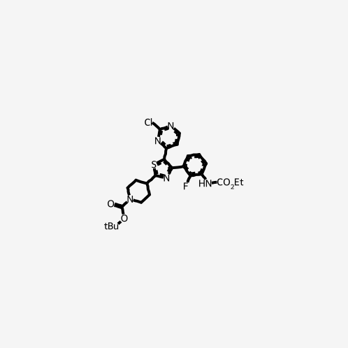 CCOC(=O)Nc1cccc(-c2nc(C3CCN(C(=O)OC(C)(C)C)CC3)sc2-c2ccnc(Cl)n2)c1F